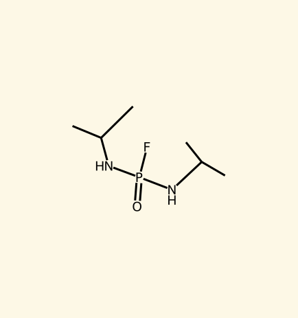 CC(C)NP(=O)(F)NC(C)C